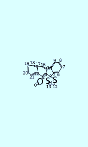 COc1c(C2(c3ccccc3)SCCS2)ccc2ccccc12